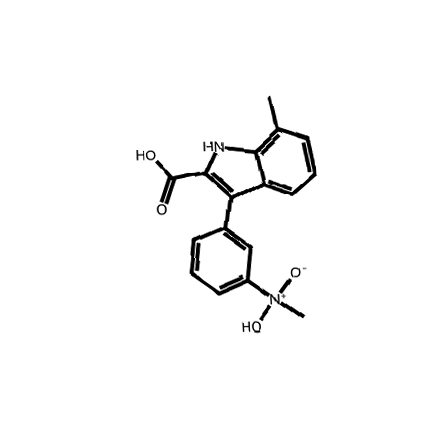 Cc1cccc2c(-c3cccc([N+](C)([O-])O)c3)c(C(=O)O)[nH]c12